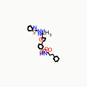 C/C(=N\Nc1nc2ccccc2s1)c1ccc(-c2cccc(S(=O)(=O)NC(=O)CCc3ccccc3)c2)o1